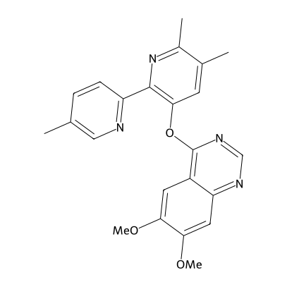 COc1cc2ncnc(Oc3cc(C)c(C)nc3-c3ccc(C)cn3)c2cc1OC